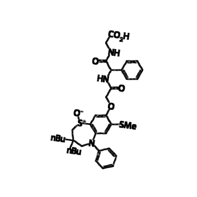 CCCCC1(CCCC)CN(c2ccccc2)c2cc(SC)c(OCC(=O)NC(C(=O)NCC(=O)O)c3ccccc3)cc2[S+]([O-])C1